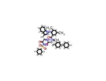 Cc1cc(C)cc(C(=O)N(C)[C@H](Cc2ccc(-c3ccccc3)cc2)C(=O)N[C@@H](Cc2c[nH]c3ccccc23)C(=O)NS(=O)(=O)c2ccccc2)c1